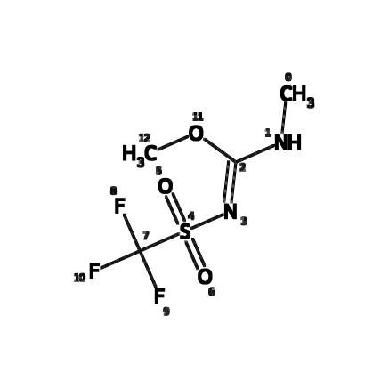 CNC(=NS(=O)(=O)C(F)(F)F)OC